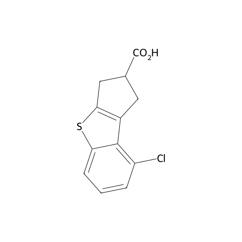 O=C(O)C1Cc2sc3cccc(Cl)c3c2C1